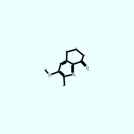 COc1cc2c(nc1C)C(=O)CCC2